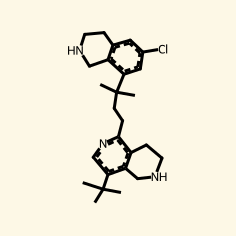 CC(C)(C)c1cnc(CCC(C)(C)c2cc(Cl)cc3c2CNCC3)c2c1CNCC2